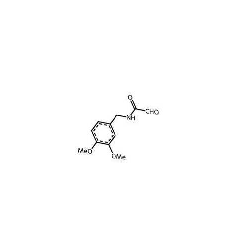 COc1ccc(CNC(=O)C=O)cc1OC